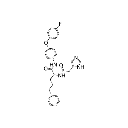 O=C(Cc1cnc[nH]1)N[C@@H](CCCc1ccccc1)C(=O)Nc1ccc(Oc2ccc(F)cc2)cc1